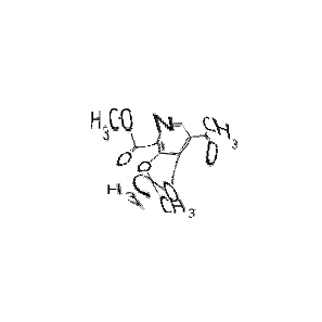 COC(=O)c1ncc(C(C)=O)c2c1OC(C)(C)OC2